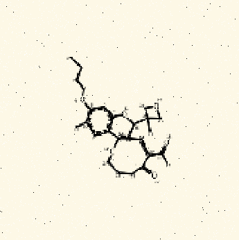 CCCCOc1cc2c(cc1C)C1=C(/C=C(/C(C)=O)C(=O)CCCC1)C(C1(C)COC1)O2